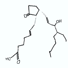 CCCCC(CC)C(O)C=C[C@H]1CCC(=O)[C@H]1CC=CCCCC(=O)O